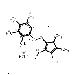 CC1=C(C)C(C)[C]([Zr][O]c2cc(C)c(C)c(C)c2C)=C1C.Cl.Cl